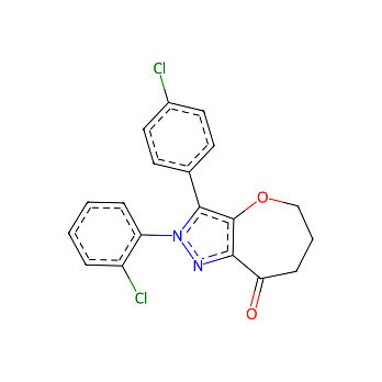 O=C1CCCOc2c1nn(-c1ccccc1Cl)c2-c1ccc(Cl)cc1